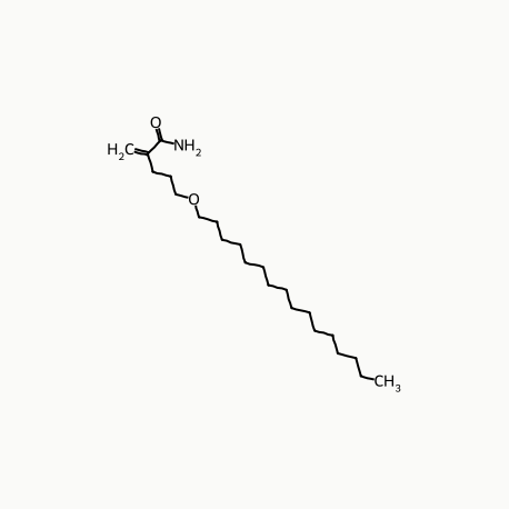 C=C(CCCOCCCCCCCCCCCCCCCC)C(N)=O